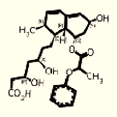 CC(Oc1ccccc1)C(=O)O[C@H]1C[C@H](O)C=C2C=C[C@H](C)[C@H](CC[C@@H](O)C[C@@H](O)CC(=O)O)[C@H]21